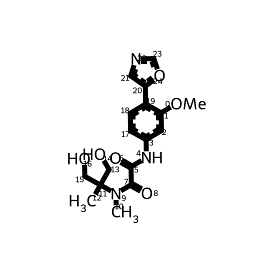 COc1cc(NC(=O)C(=O)N(C)C(C)(CO)CO)ccc1-c1cnco1